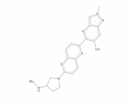 Cn1cc2nc(-c3ccc4nc(N5CCC(NC(C)(C)C)C5)ccc4n3)c(O)cc2n1